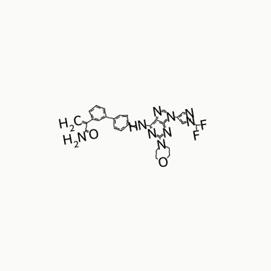 C=C(C(N)=O)c1cccc(-c2ccc(CNc3nc(N4CCOCC4)nc4c3ncn4-c3cnn(C(F)F)c3)cc2)c1